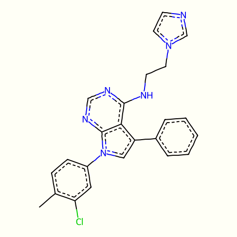 Cc1ccc(-n2cc(-c3ccccc3)c3c(NCCn4ccnc4)ncnc32)cc1Cl